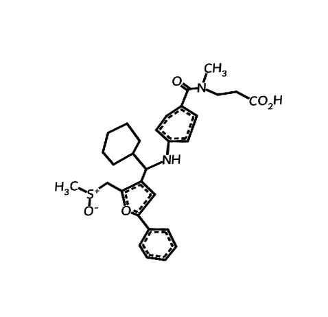 CN(CCC(=O)O)C(=O)c1ccc(NC(c2cc(-c3ccccc3)oc2C[S+](C)[O-])C2CCCCC2)cc1